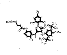 CCCCCCCCCCCCCC(=O)Nc1ccc(Cl)c(NC2=NN(c3c(Cl)cc(Cl)cc3Cl)C(=O)C2Sc2cc(C(C)(C)CCC)c(OC)cc2C(C)(C)CCC)c1